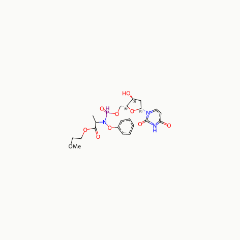 COCCOC(=O)C(C)N(Oc1ccccc1)[PH](=O)OC[C@H]1O[C@@H](n2ccc(=O)[nH]c2=O)C[C@@H]1O